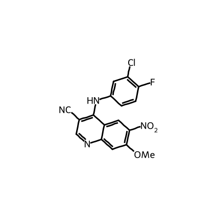 COc1cc2ncc(C#N)c(Nc3ccc(F)c(Cl)c3)c2cc1[N+](=O)[O-]